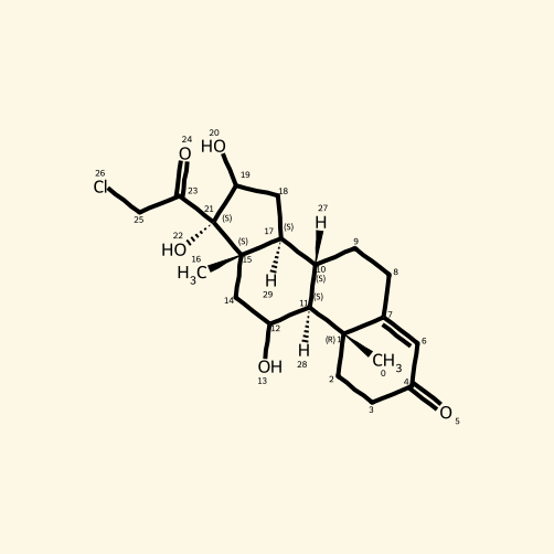 C[C@]12CCC(=O)C=C1CC[C@@H]1[C@@H]2C(O)C[C@@]2(C)[C@H]1CC(O)[C@]2(O)C(=O)CCl